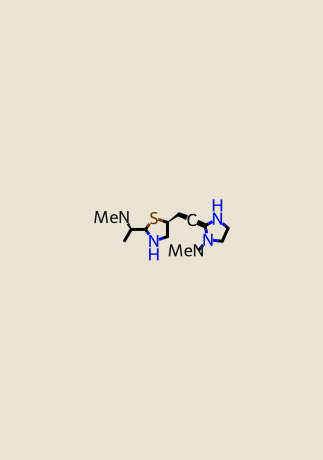 CN[C@H](C)C1NC[C@H](C=C=C2NCCN2NC)S1